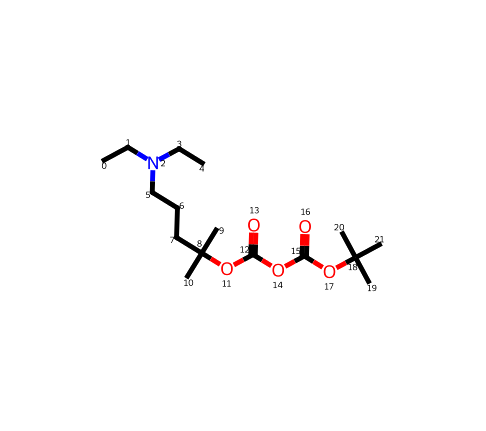 CCN(CC)CCCC(C)(C)OC(=O)OC(=O)OC(C)(C)C